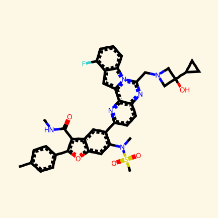 CNC(=O)c1c(-c2ccc(C)cc2)oc2cc(N(C)S(C)(=O)=O)c(-c3ccc4nc(CN5CC(O)(C6CC6)C5)n5c6cccc(F)c6cc5c4n3)cc12